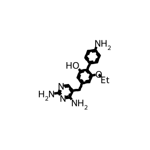 CCOc1cc(Cc2cnc(N)nc2N)cc(O)c1-c1ccc(N)cc1